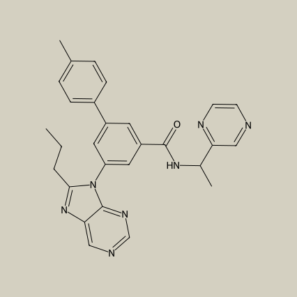 CCCc1nc2cncnc2n1-c1cc(C(=O)NC(C)c2cnccn2)cc(-c2ccc(C)cc2)c1